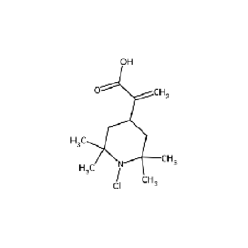 C=C(C(=O)O)C1CC(C)(C)N(Cl)C(C)(C)C1